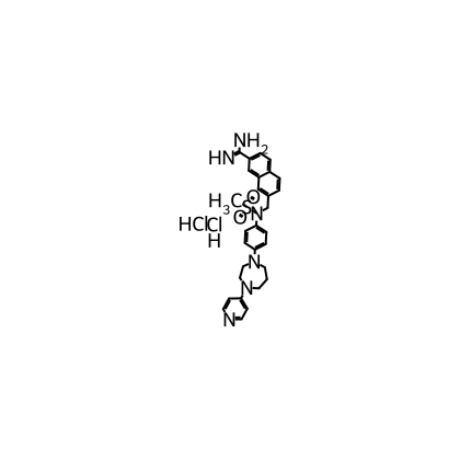 CS(=O)(=O)N(Cc1ccc2ccc(C(=N)N)cc2c1)c1ccc(N2CCCN(c3ccncc3)CC2)cc1.Cl.Cl